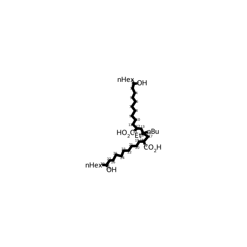 CCCCCCC(O)CCCCCCCCCC(CC(CC)(CCCC)CC(CCCCCCCCCC(O)CCCCCC)C(=O)O)C(=O)O